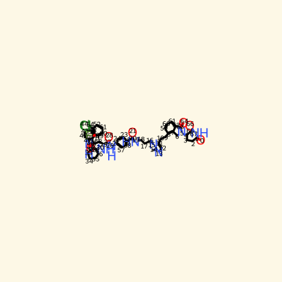 O=C1CCC(N2Cc3c(CCc4cncn4CCCNC(=O)c4ccc(NC(=O)[C@@H]5NC6(CCCCC6)[C@@]6(C(=O)Nc7cc(Cl)ccc76)[C@H]5c5cccc(Cl)c5F)cc4)cccc3C2=O)C(=O)N1